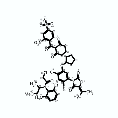 CC(C)=C1OC(=O)N(c2cc(OC3CCCC3)c(Cl)cc2F)C1=O.CCc1cccc(C)c1N(C(=O)CCl)C(C)COC.CS(=O)(=O)c1ccc(C(=O)C2C(=O)CCCC2=O)c([N+](=O)[O-])c1